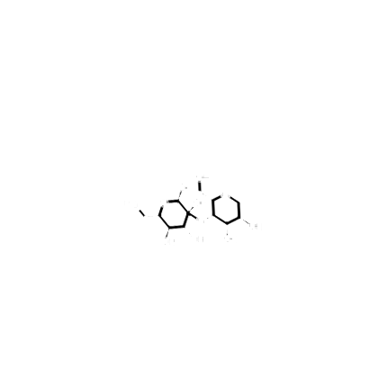 OC[C@@H]1O[C@@H](O)[C@](O)(O[C@H]2[C@@H](O)[C@H](O)CO[C@H]2CO)[C@H](O)[C@H]1O